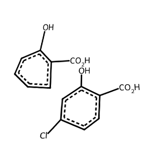 O=C(O)c1ccc(Cl)cc1O.O=C(O)c1ccccc1O